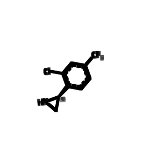 FC(F)(F)c1ccc([C@H]2CN2)c(Cl)c1